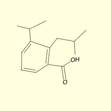 CC(C)Cc1c(C(=O)O)cccc1C(C)C